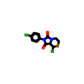 O=C1C2C(Cl)SCCN2C(=O)N1c1ccc(Cl)cc1